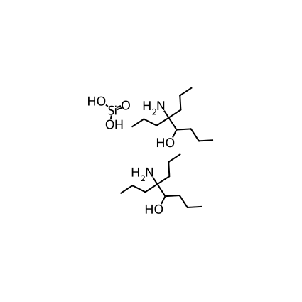 CCCC(O)C(N)(CCC)CCC.CCCC(O)C(N)(CCC)CCC.O=[Si](O)O